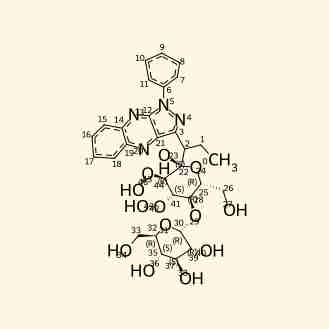 CCC(c1nn(-c2ccccc2)c2nc3ccccc3nc12)[C@]1(O)O[C@H](CO)[C@@H](O[C@H]2O[C@H](CO)[C@@H](O)[C@H](O)[C@H]2O)[C@H](OO)[C@H]1OO